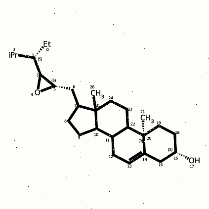 CC[C@@H](C(C)C)C1O[C@H]1CC1CCC2C3CC=C4C[C@@H](O)CC[C@]4(C)C3CCC12C